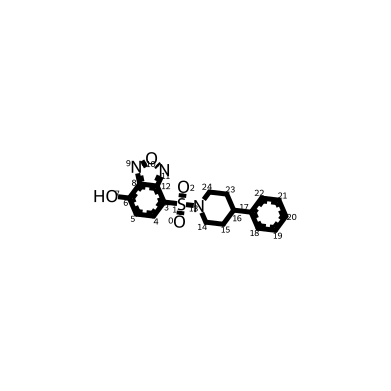 O=S(=O)(c1ccc(O)c2nonc12)N1CCC(c2ccccc2)CC1